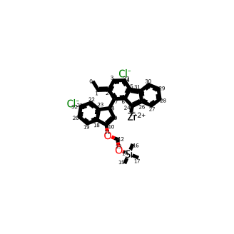 CC=c1ccc2c(c1C1C=C(OCO[Si](C)(C)C)c3ccccc31)[C]([Zr+2])=c1ccccc1=2.[Cl-].[Cl-]